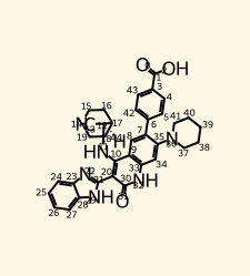 O=C(O)c1ccc(-c2cc3c(N[C@H]4CN5CCC4CC5)c(-c4nc5ccccc5[nH]4)c(=O)[nH]c3cc2N2CCCCC2)cc1